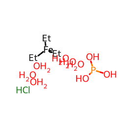 C[CH2][Fe]([CH2]C)[CH2]C.Cl.O.O.O.O.O.O.OP(O)O